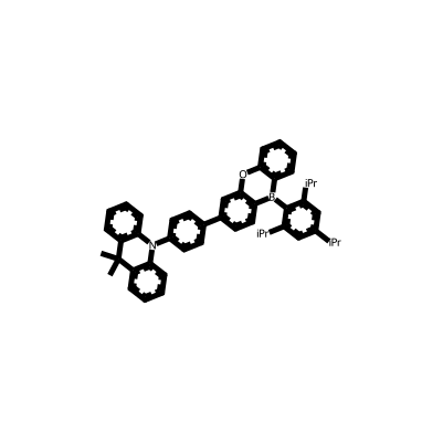 CC(C)c1cc(C(C)C)c(B2c3ccccc3Oc3cc(-c4ccc(N5c6ccccc6C(C)(C)c6ccccc65)cc4)ccc32)c(C(C)C)c1